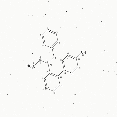 O=C(O)N[C@H](Cc1ccccc1)c1cnccc1-c1ccc(O)cc1